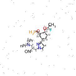 CCCN(CCC)CC(Cn1ccc(-c2ccc(OC(C)F)c(OP)c2)n1)N=O